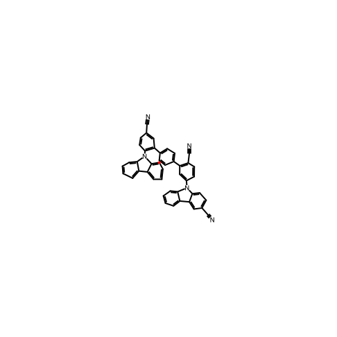 N#Cc1ccc(-n2c3ccccc3c3ccccc32)c(-c2ccc(-c3cc(-n4c5ccccc5c5cc(C#N)ccc54)ccc3C#N)cc2)c1